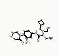 CC(C)CN(CC1CCC1)[C@@H](CN)C(=O)Nc1ccc(N2CCOCC2=O)c(C(F)(F)F)c1